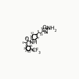 CC(C(=O)Nc1ccc(CC[C@H]2COC(N)=N2)cc1)c1cccc(C(F)(F)F)c1